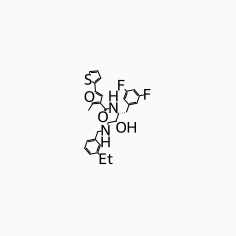 CCc1cccc(CNC[C@H](O)[C@@H](Cc2cc(F)cc(F)c2)NC(=O)c2cc(-c3cccs3)oc2C)c1